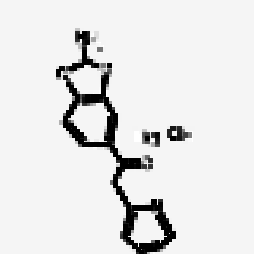 Cl.Cl.NC1Oc2ccc(C(=O)Cc3ccccn3)cc2O1